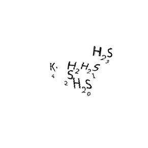 S.S.S.S.[K]